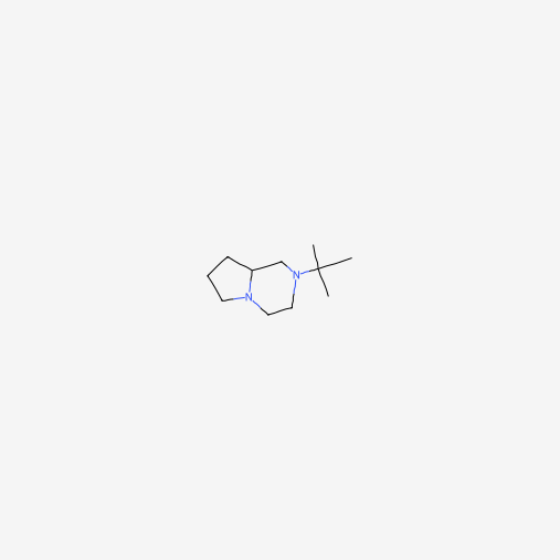 CC(C)(C)N1CCN2CCCC2C1